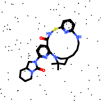 CC1(C)CC2CCCNc3cccc(n3)SNC(=O)c3ccc(N4CC5CCCCN5C4=O)nc3N1C2